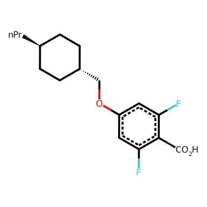 CCC[C@H]1CC[C@H](COc2cc(F)c(C(=O)O)c(F)c2)CC1